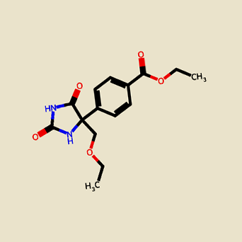 CCOCC1(c2ccc(C(=O)OCC)cc2)NC(=O)NC1=O